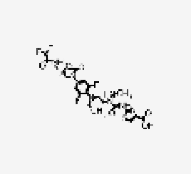 CCN(CCN(NC)C(=O)Nc1nc(C(=O)O)cs1)c1c(F)cc(N2C[C@H](CNC(=O)C(F)F)OC2=O)cc1F